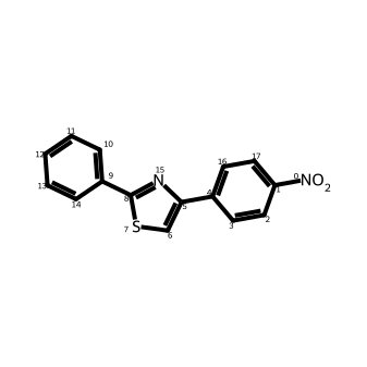 O=[N+]([O-])c1ccc(-c2csc(-c3ccccc3)n2)cc1